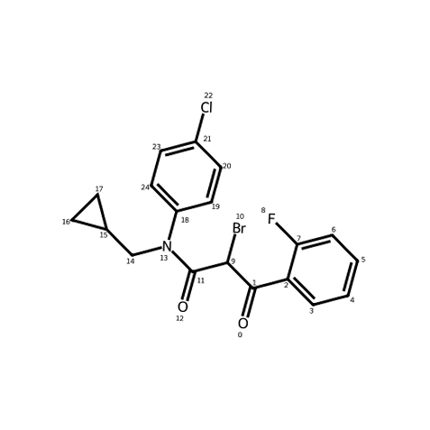 O=C(c1ccccc1F)C(Br)C(=O)N(CC1CC1)c1ccc(Cl)cc1